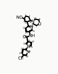 N#CC1CCC(N2CCOCC2)C(c2ccc(NC(=O)c3ccn(-c4ccc(Cl)cn4)c3)cn2)C1